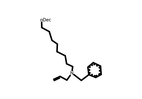 C=CCN(CCCCCCCCCCCCCCCCCC)Cc1ccccc1